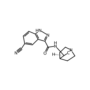 N#Cc1ccc2[nH]nc(C(=O)N[C@H]3CN4CCC3CC4)c2c1